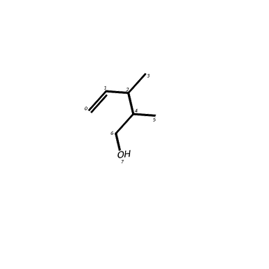 C=CC(C)C(C)CO